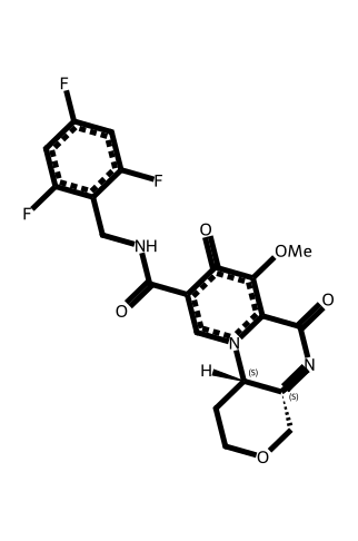 COc1c2n(cc(C(=O)NCc3c(F)cc(F)cc3F)c1=O)[C@H]1CCOC[C@]13CC=CCN3C2=O